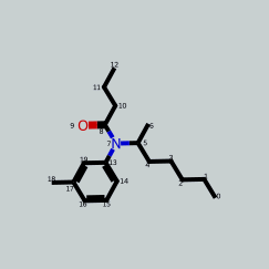 CCCCCC(C)N(C(=O)CCC)c1cccc(C)c1